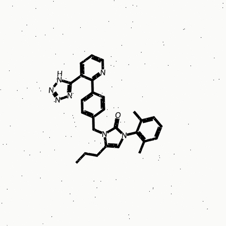 CCCc1cn(-c2c(C)cccc2C)c(=O)n1Cc1ccc(-c2ncccc2-c2nnn[nH]2)cc1